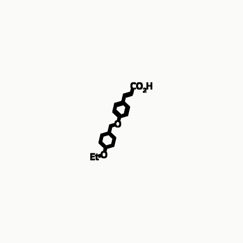 CCOC1CCC(COc2ccc(C=CC(=O)O)cc2)CC1